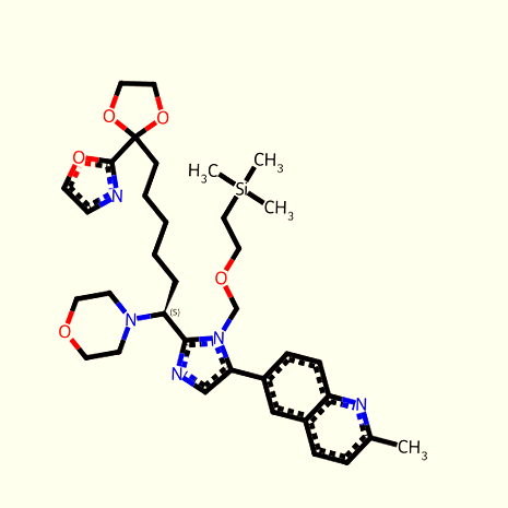 Cc1ccc2cc(-c3cnc([C@H](CCCCCC4(c5ncco5)OCCO4)N4CCOCC4)n3COCC[Si](C)(C)C)ccc2n1